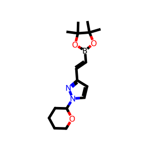 CC1(C)OB(C=Cc2ccn(C3CCCCO3)n2)OC1(C)C